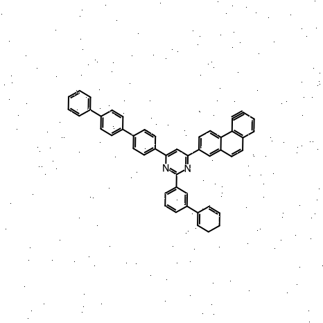 c1ccc2ccc3cc(-c4cc(-c5ccc(-c6ccc(-c7ccccc7)cc6)cc5)nc(-c5cccc(C6=CCCC=C6)c5)n4)ccc3c2c#1